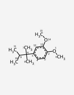 COc1ccc(C(C)(C)C(C)C)cc1OC